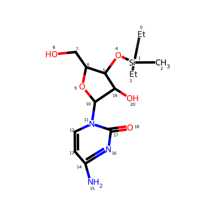 CC[Si](C)(CC)OC1C(CO)OC(n2ccc(N)nc2=O)C1O